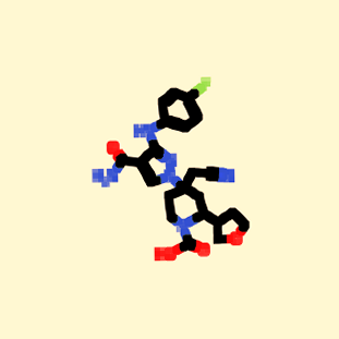 N#CCC1(n2cc(C(N)=O)c(Nc3ccc(F)cc3)n2)CCN(C(=O)O)C(C2CCOC2)C1